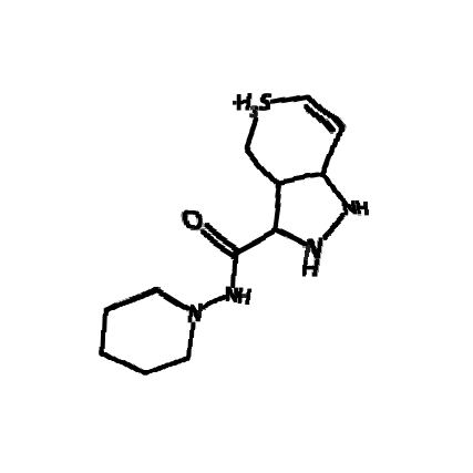 O=C(NN1CCCCC1)C1NNC2C=C[SH3]CC21